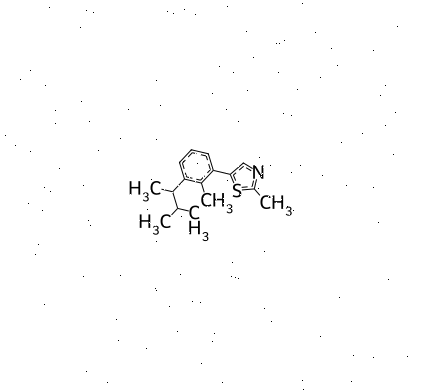 Cc1ncc(-c2cccc(C(C)C(C)C)c2C)s1